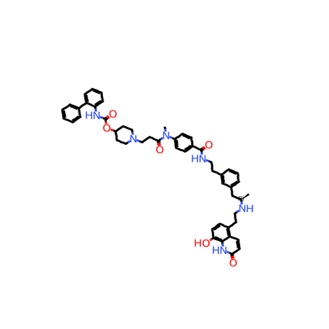 C[C@H](Cc1cccc(CCNC(=O)c2ccc(N(C)C(=O)CCN3CCC(OC(=O)Nc4ccccc4-c4ccccc4)CC3)cc2)c1)NCCc1ccc(O)c2[nH]c(=O)ccc12